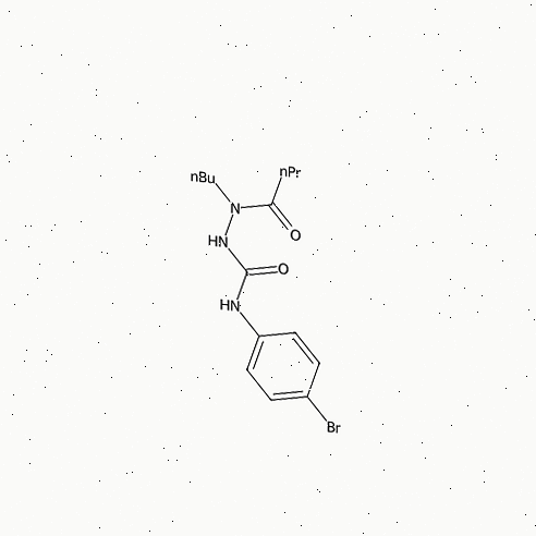 CCCCN(NC(=O)Nc1ccc(Br)cc1)C(=O)CCC